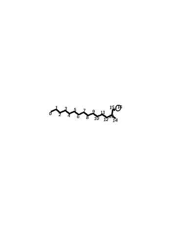 CCCCCCCCCCCCCC(C)C=O